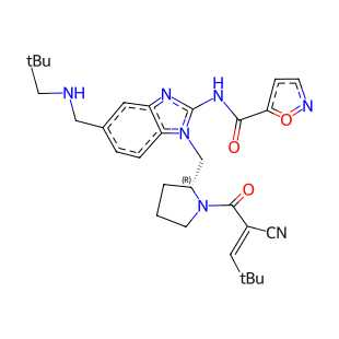 CC(C)(C)C=C(C#N)C(=O)N1CCC[C@@H]1Cn1c(NC(=O)c2ccno2)nc2cc(CNCC(C)(C)C)ccc21